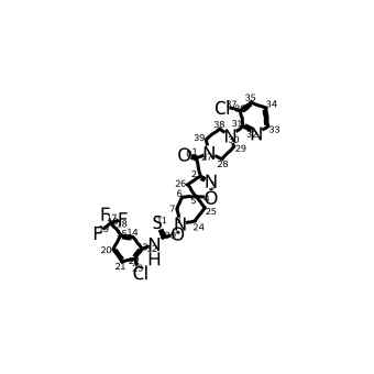 O=C(C1=NOC2(CCN(OC(=S)Nc3cc(C(F)(F)F)ccc3Cl)CC2)C1)N1CCN(c2ncccc2Cl)CC1